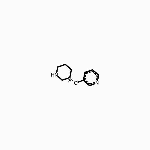 c1cncc(O[C@H]2CCCNC2)c1